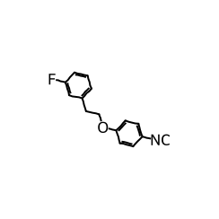 [C-]#[N+]c1ccc(OCCc2cccc(F)c2)cc1